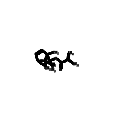 C=C(C)C(=O)OC1(C)CC2C=CC1(C)C2(C)C